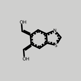 OC=c1cc2ncsc2cc1=CO